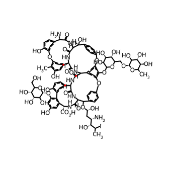 Cc1c(O)cc2cc1Oc1cc(ccc1O)[C@@H](N)C(=O)N[C@H]1C(=O)N[C@@H]2C(=O)N[C@H]2C(=O)N[C@H]3C(=O)N[C@H](C(=O)N[C@H](C(=O)O)c4cc(O)cc(O[C@H]5OC(CO)[C@@H](O)[C@@H](O)C5O)c4-c4cc3ccc4O)C(O[C@H](O)C[C@H](N)[C@@H](O)C(C)I)c3ccc(cc3)Oc3cc2cc(c3OC2OC(CO[C@@H]3OC(C)[C@H](O)[C@@H](O)C3O)[C@@H](O)[C@H](O)[C@@H]2O)Oc2ccc(cc2)[C@H]1O